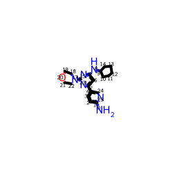 Nc1ccc(-c2cc(NC3CCCCC3)nc(N3CCOCC3)n2)cn1